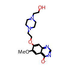 COc1cc2c([O])ncnc2cc1OCCN1CCN(CCO)CC1